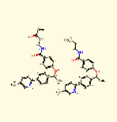 CCCCC(Oc1ccc(C(=O)NCCC(=O)O)cc1)c1ccc(-c2ccc(C(F)(F)F)cn2)cc1.CCCCC(Oc1ccc(C(=O)NCCC(=O)OC)cc1)c1ccc(-c2ccc(C(F)(F)F)cn2)cc1